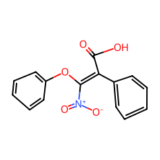 O=C(O)C(=C(Oc1ccccc1)[N+](=O)[O-])c1ccccc1